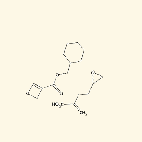 C=C(CCC1CO1)C(=O)O.O=C(OCC1CCCCC1)C1=COC1